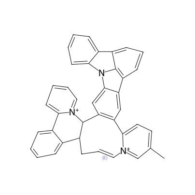 Cc1ccc2[n+](c1)/C=C/CC1c3ccccc3-c3cccc[n+]3C1c1cc3c(cc1-2)c1cccc2c4ccccc4n3c21